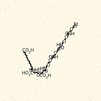 CCOCCOCCNC(=O)COCCOCCNC(=O)COCCOCCNC(=O)COCCOCCNC(=O)CC[C@H](NC(=O)CCC(NC(=O)CCCCCCCCCCCCC(=O)O)C(=O)O)C(=O)O